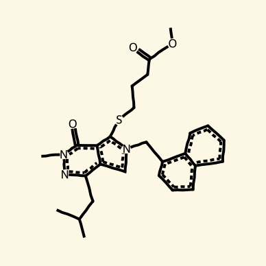 COC(=O)CCCSc1c2c(=O)n(C)nc(CC(C)C)c2cn1Cc1cccc2ccccc12